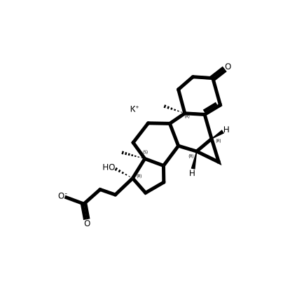 C[C@]12CCC(=O)C=C1[C@@H]1C[C@@H]1C1C2CC[C@@]2(C)C1CC[C@@]2(O)CCC(=O)[O-].[K+]